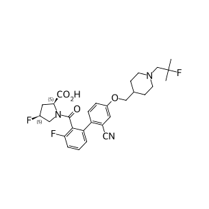 CC(C)(F)CN1CCC(COc2ccc(-c3cccc(F)c3C(=O)N3C[C@@H](F)C[C@H]3C(=O)O)c(C#N)c2)CC1